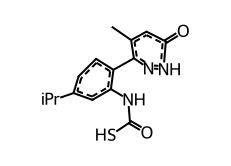 Cc1cc(=O)[nH]nc1-c1ccc(C(C)C)cc1NC(=O)S